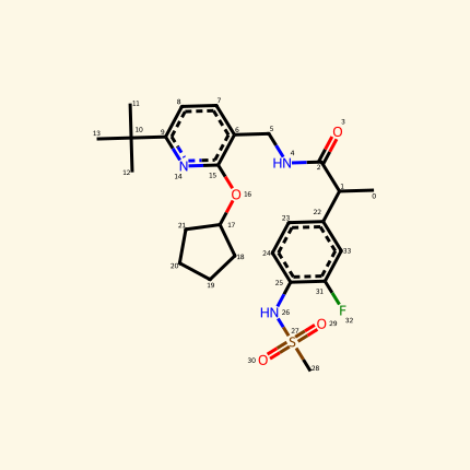 CC(C(=O)NCc1ccc(C(C)(C)C)nc1OC1CCCC1)c1ccc(NS(C)(=O)=O)c(F)c1